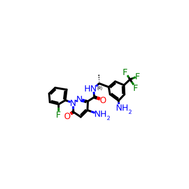 C[C@@H](NC(=O)c1nn(-c2ccccc2F)c(=O)cc1N)c1cc(N)cc(C(F)(F)F)c1